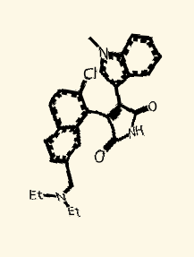 CCN(CC)Cc1ccc2ccc(Cl)c(C3=C(c4cn(C)c5ccccc45)C(=O)NC3=O)c2c1